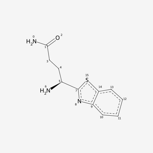 NC(=O)CC[C@H](N)c1nc2ccccc2s1